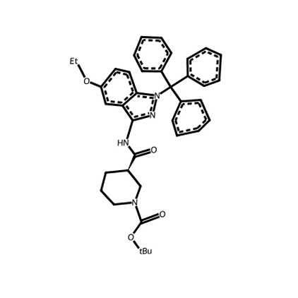 CCOc1ccc2c(c1)c(NC(=O)[C@@H]1CCCN(C(=O)OC(C)(C)C)C1)nn2C(c1ccccc1)(c1ccccc1)c1ccccc1